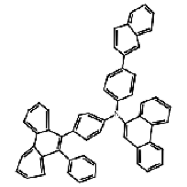 c1ccc(-c2c(-c3ccc(N(c4ccc(-c5ccc6ccccc6c5)cc4)c4cc5ccccc5c5ccccc45)cc3)c3ccccc3c3ccccc23)cc1